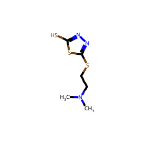 CN(C)CCSc1nnc(S)s1